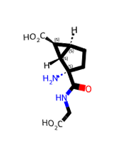 N[C@@]1(C(=O)NCC(=O)O)CC[C@@H]2[C@H](C(=O)O)[C@H]21